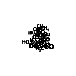 CC[C@H](C)[C@H](NC(=O)[C@H](C)N(C)C(=O)OC(C)(C)C)C(=O)N(C)[C@@H](C)C(=O)N1CC[C@H]1C(=O)N(C)[C@@H](CC1CCCCC1)C(=O)N(C)CC(=O)N[C@@H](CC(=O)O)C(=O)N1CCCC1